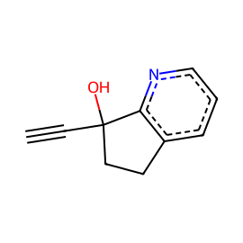 C#CC1(O)CCc2cccnc21